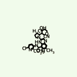 Cc1cc([C@@H](C)Nc2ccc(Cl)nc2C(=O)O)c2nc(N3CCCC3C3COCCC3(C)O)c(C#N)nc2c1